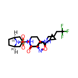 O=C(N[C@H]1C[C@H]2CC[C@@H](C1)N2S(=O)(=O)N1CCC(NCCCC(F)(F)F)CC1)c1cc(C2CC2)on1